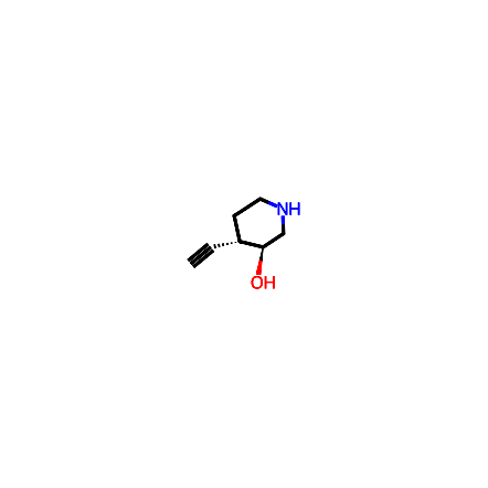 C#C[C@@H]1CCNC[C@H]1O